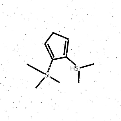 C[SiH](C)C1=CC[C]=C1[Si](C)(C)C